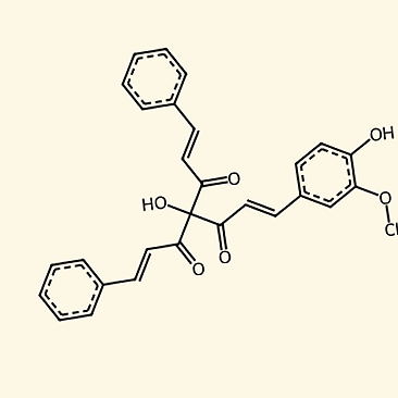 COc1cc(C=CC(=O)C(O)(C(=O)C=Cc2ccccc2)C(=O)C=Cc2ccccc2)ccc1O